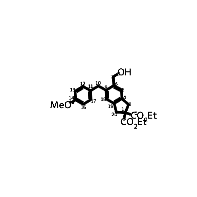 CCOC(=O)C1(C(=O)OCC)Cc2cc(CO)c(Cc3ccc(OC)cc3)cc2C1